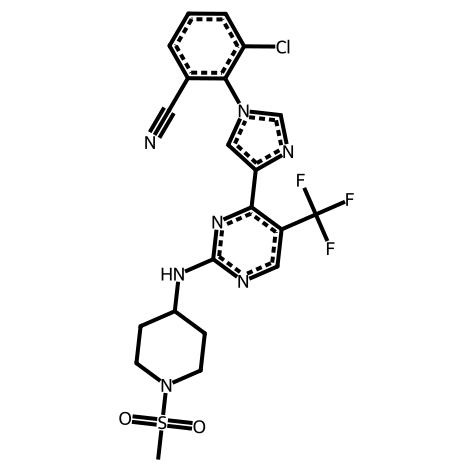 CS(=O)(=O)N1CCC(Nc2ncc(C(F)(F)F)c(-c3cn(-c4c(Cl)cccc4C#N)cn3)n2)CC1